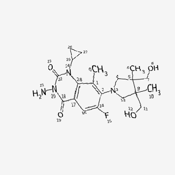 Cc1c(N2CC(C)(CO)C(C)(CO)C2)c(F)cc2c(=O)n(N)c(=O)n(C3CC3)c12